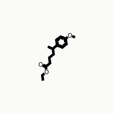 CCOC(=O)CCCC(C)c1ccc(OC)cc1